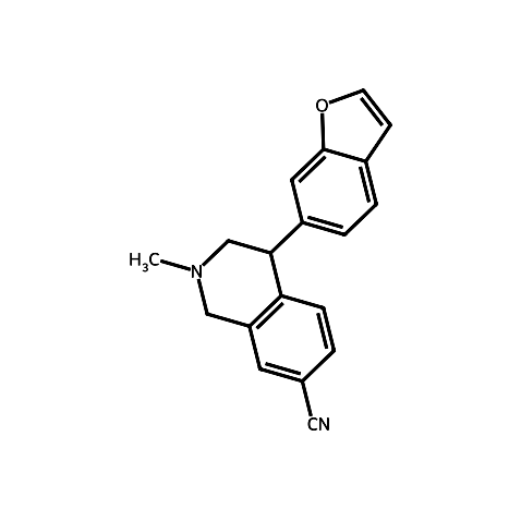 CN1Cc2cc(C#N)ccc2C(c2ccc3ccoc3c2)C1